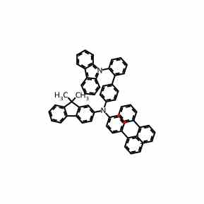 CC1(C)c2ccccc2-c2ccc(N(c3ccc(-c4ccccc4-n4c5ccccc5c5ccccc54)cc3)c3ccc(-c4cccc5cccc(-c6ccccc6)c45)cc3)cc21